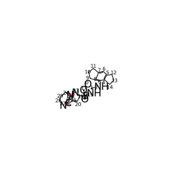 O=C(Nc1c2c(cc3c1CCC3)CCC2)NS(=O)(=O)c1cc2n(n1)C1CCN(CC1)C2